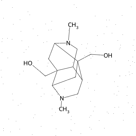 CN1CC2C3CN(C)C4CC3(CO)C1CC24CO